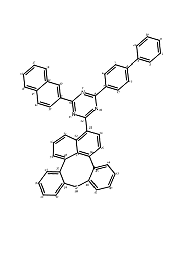 c1ccc(-c2ccc(-c3nc(-c4ccc5ccccc5c4)nc(-c4ccc5c6c(cccc46)-c4ccccc4Sc4ccccc4-5)n3)cc2)cc1